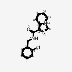 O=C(NCc1ccccc1Cl)c1ncn2ccccc12